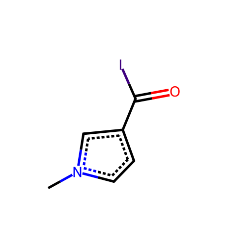 Cn1ccc(C(=O)I)c1